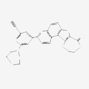 C#Cc1cc(-c2ccc3c(ccc4sc5c(c43)NC[C@@H](C)NC5=O)n2)cc(N2CCNCC2)n1